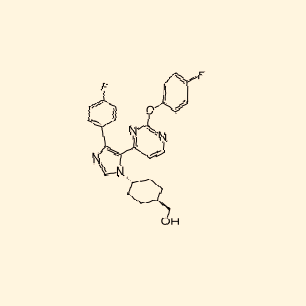 OC[C@H]1CC[C@H](n2cnc(-c3ccc(F)cc3)c2-c2ccnc(Oc3ccc(F)cc3)n2)CC1